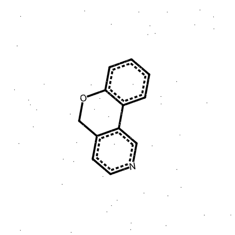 c1ccc2c(c1)OCc1ccncc1-2